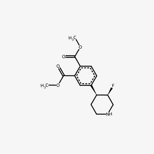 COC(=O)c1ccc([C@@H]2CCNC[C@@H]2F)cc1C(=O)OC